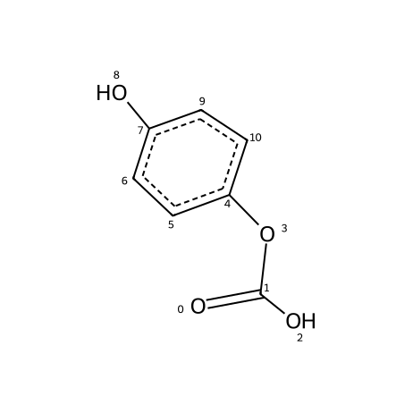 O=C(O)Oc1ccc(O)cc1